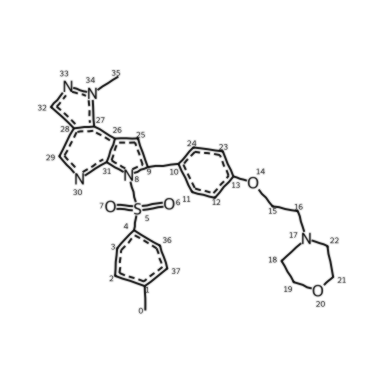 Cc1ccc(S(=O)(=O)n2c(-c3ccc(OCCN4CCOCC4)cc3)cc3c4c(cnc32)cnn4C)cc1